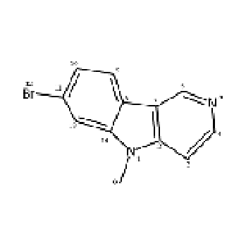 Cn1c2ccncc2c2ccc(Br)cc21